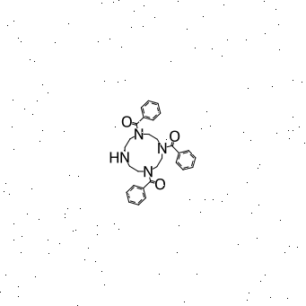 O=C(c1ccccc1)N1CCNCCN(C(=O)c2ccccc2)CCN(C(=O)c2ccccc2)CC1